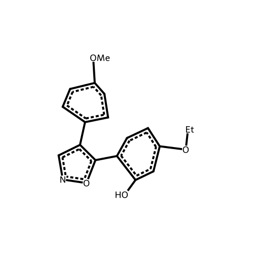 CCOc1ccc(-c2oncc2-c2ccc(OC)cc2)c(O)c1